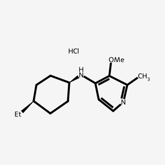 CC[C@H]1CC[C@@H](Nc2ccnc(C)c2OC)CC1.Cl